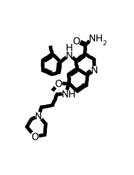 COC1(NCCCN2CCOCC2)C=CC2=NCC(C(N)=O)=C(Nc3ccccc3C)C2=C1